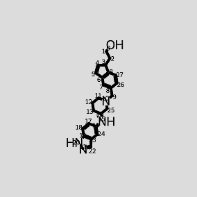 OCCC1C=Cc2cc(CN3CCC[C@H](Nc4ccc5[nH]ncc5c4)C3)ccc21